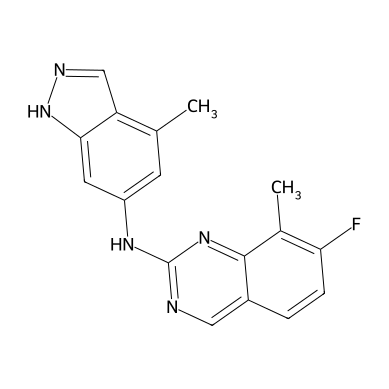 Cc1cc(Nc2ncc3ccc(F)c(C)c3n2)cc2[nH]ncc12